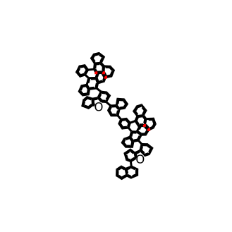 c1ccc(-c2cc3ccccc3c3ccccc23)c(-c2c3ccccc3c(-c3ccc(-c4ccc(-c5ccc(-c6c7ccccc7c(-c7cccc8oc9c(-c%10cccc%11ccccc%10%11)cccc9c78)c7ccccc67)c(-c6cc7ccccc7c7ccccc67)c5)c5ccccc45)c4oc5ccccc5c34)c3ccccc23)c1